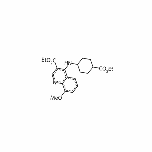 CCOC(=O)c1cnc2c(OC)cccc2c1NC1CCC(C(=O)OCC)CC1